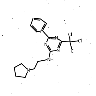 ClC(Cl)(Cl)c1nc(NCCN2CCCC2)nc(-c2ccccc2)n1